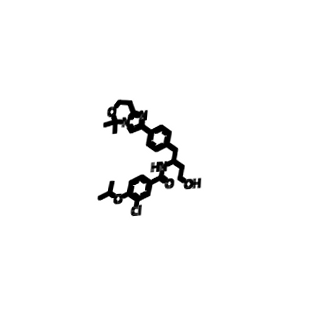 CC(C)Oc1ccc(C(=O)NC(CCO)Cc2ccc(-c3cn4c(n3)CCOC4(C)C)cc2)cc1Cl